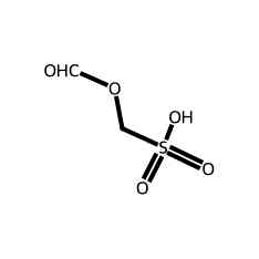 O=COCS(=O)(=O)O